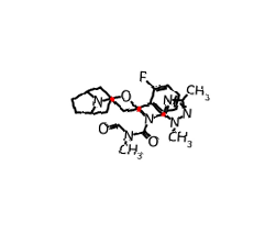 Cc1nc(N(CCCN2C3CCC2CC(OCc2ccccc2F)C3)C(=O)N(C)C=O)n(C)n1